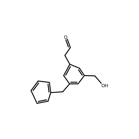 O=CCc1cc(CO)cc(Cc2ccccc2)c1